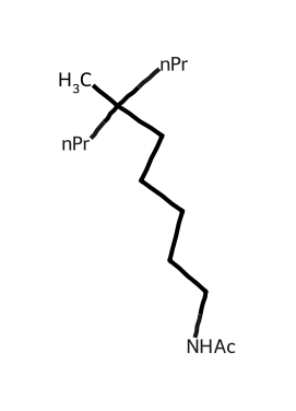 CCCC(C)(CCC)CCCCCNC(C)=O